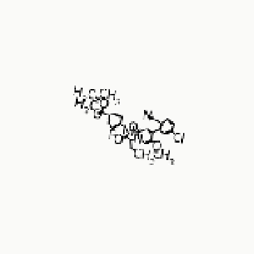 CCC(C(=O)Nc1ccc(C(=O)OC(C)(C)C)cc1F)n1cc(OC)c(-c2cc(Cl)ccc2C#N)cc1=O